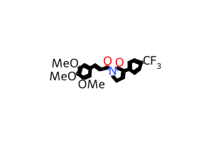 COc1cc(/C=C/C(=O)N2CCC=C(c3ccc(C(F)(F)F)cc3)C2=O)cc(OC)c1OC